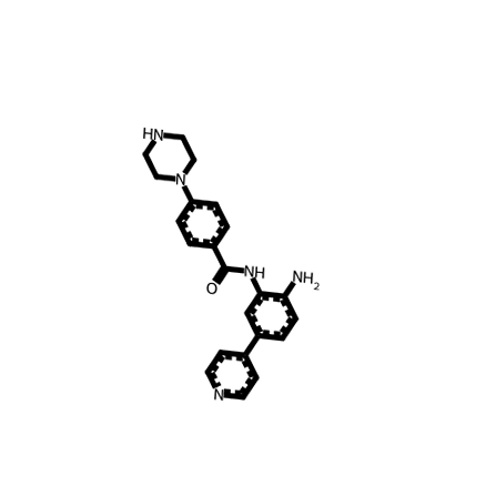 Nc1ccc(-c2ccncc2)cc1NC(=O)c1ccc(N2CCNCC2)cc1